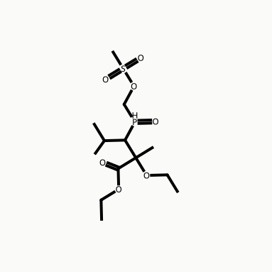 CCOC(=O)C(C)(OCC)C(C(C)C)[PH](=O)COS(C)(=O)=O